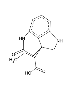 CCC(C(=O)O)C12CNc3cccc(c31)NC(=O)C2